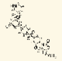 NC[C@@H]1OC(=O)N2c3ccc(S(=O)(=O)N4CCN(c5cc(C(F)(F)C6CCCNC6)cc(Cl)n5)CC4)cc3OC[C@H]12